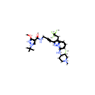 COc1nn(C(C)(C)C)cc1C(=O)NCC#Cc1nn2c(N[C@@H]3CCN(C)C[C@@H]3F)cccc2c1CC(F)(F)F